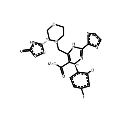 COC(=O)C1=C(CN2CCOC[C@H]2c2nsc(=O)[nH]2)NC(c2nccs2)=N[C@H]1c1ccc(F)cc1Cl